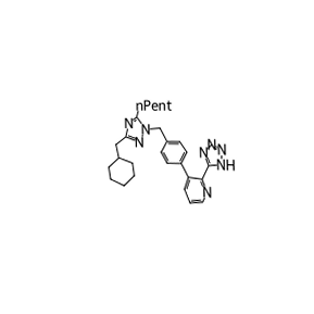 CCCCCc1nc(CC2CCCCC2)nn1Cc1ccc(-c2cccnc2-c2nnn[nH]2)cc1